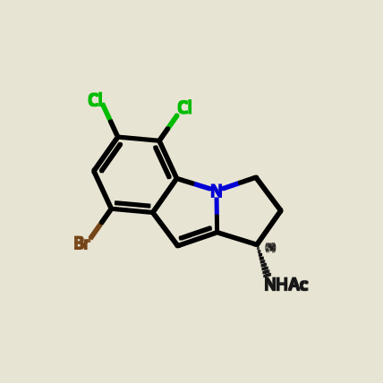 CC(=O)N[C@H]1CCn2c1cc1c(Br)cc(Cl)c(Cl)c12